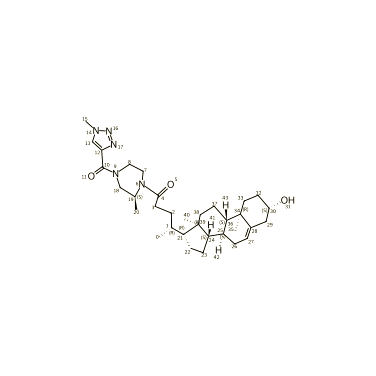 C[C@H](CCC(=O)N1CCN(C(=O)c2cn(C)nn2)C[C@@H]1C)[C@H]1CC[C@H]2[C@@H]3CC=C4C[C@@H](O)CC[C@]4(C)[C@H]3CC[C@]12C